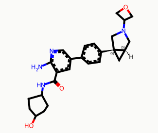 Nc1ncc(-c2ccc([C@]34C[C@@H]3CN(C3COC3)C4)cc2)cc1C(=O)NC1CCC(O)CC1